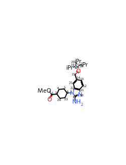 COC(=O)C1CCC(n2c(N)nc3ccc(CO[Si](C(C)C)(C(C)C)C(C)C)cc32)CC1